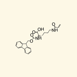 C=CC(=O)NCCCC[C@H](NC(=O)OCC1c2ccccc2-c2ccccc21)C(=O)O